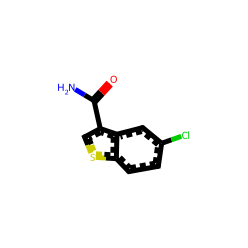 NC(=O)c1csc2ccc(Cl)cc12